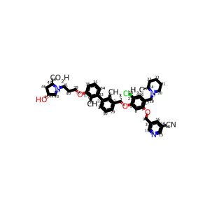 Cc1c(COc2cc(OCc3cncc(C#N)c3)c(CN3CCCC[C@H]3C)cc2Cl)cccc1-c1cccc(OCCCN2C[C@H](O)C[C@H]2C(=O)O)c1C